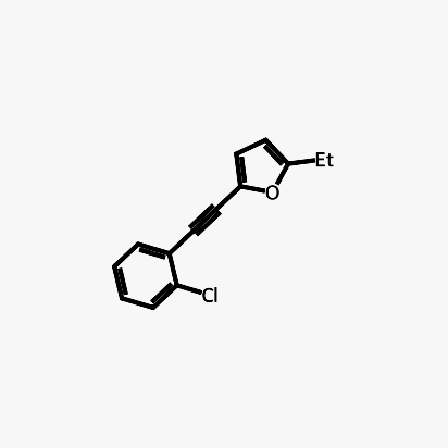 CCc1ccc(C#Cc2ccccc2Cl)o1